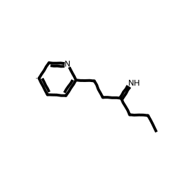 CCCC(=N)CCc1cc[c]cn1